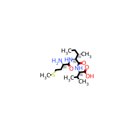 CC[C@H](C)[C@H](NC(=O)[C@@H](N)CCSC)C(=O)N[C@H](C(=O)O)C(C)C